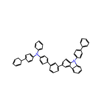 C1=CCC(c2ccc(N(c3ccccc3)c3ccc(-c4cccc(-c5ccc6c(c5)c5ccccc5n6-c5ccc(-c6ccccc6)cc5)c4)cc3)cc2)C=C1